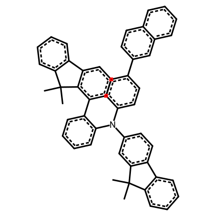 CC1(C)c2ccccc2-c2ccc(N(c3ccc(-c4ccc5ccccc5c4)cc3)c3ccccc3-c3cccc4c3C(C)(C)c3ccccc3-4)cc21